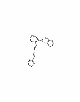 Clc1ccccc1COc1ccccc1C=CCC=Cc1ccccn1